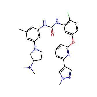 Cc1cc(NC(=O)Nc2cc(Oc3cccc(-c4cnn(C)c4)n3)ccc2F)cc(N2CCC(N(C)C)C2)c1